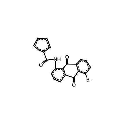 O=C(Nc1cccc2c1C(=O)c1cccc(Br)c1C2=O)c1ccccc1